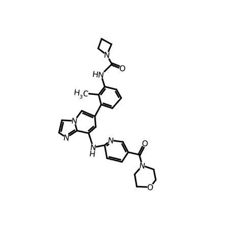 Cc1c(NC(=O)N2CCC2)cccc1-c1cc(Nc2ccc(C(=O)N3CCOCC3)cn2)c2nccn2c1